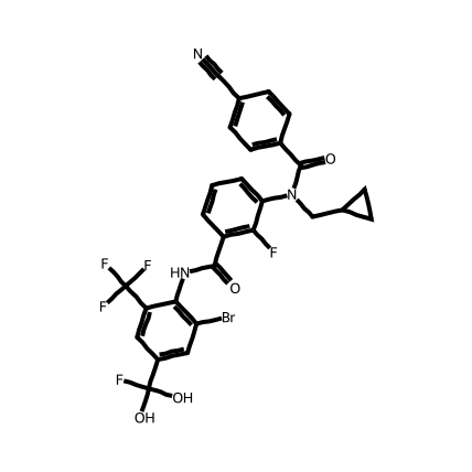 N#Cc1ccc(C(=O)N(CC2CC2)c2cccc(C(=O)Nc3c(Br)cc(C(O)(O)F)cc3C(F)(F)F)c2F)cc1